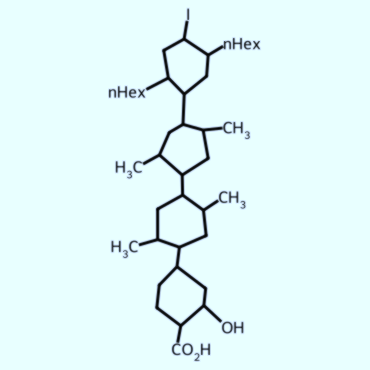 CCCCCCC1CC(C2CC(C)C(C3CC(C)C(C4CCC(C(=O)O)C(O)C4)CC3C)CC2C)C(CCCCCC)CC1I